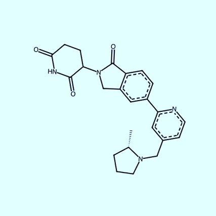 C[C@H]1CCCN1Cc1ccnc(-c2ccc3c(c2)CN(C2CCC(=O)NC2=O)C3=O)c1